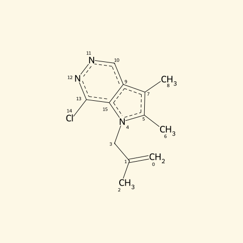 C=C(C)Cn1c(C)c(C)c2cnnc(Cl)c21